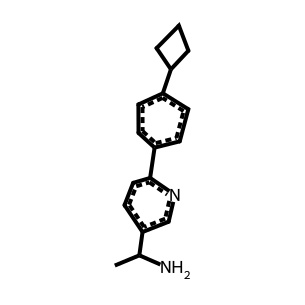 CC(N)c1ccc(-c2ccc(C3CCC3)cc2)nc1